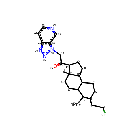 CCCC1C(CCF)CCC2C1CCC1(C)C(C(=O)Cn3nnc4ccncc43)CCC21